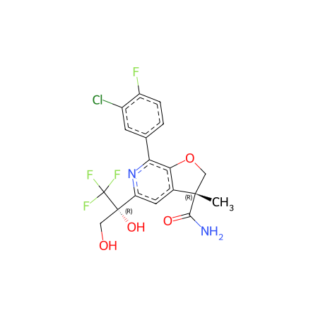 C[C@]1(C(N)=O)COc2c1cc([C@@](O)(CO)C(F)(F)F)nc2-c1ccc(F)c(Cl)c1